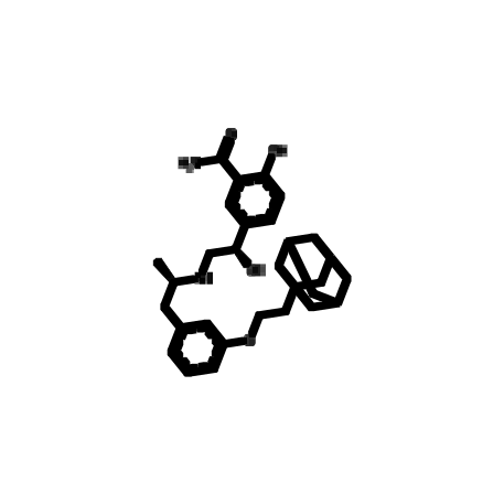 C[C@H](Cc1cccc(OCCC23CC4CC(CC(C4)C2)C3)c1)NC[C@H](O)c1ccc(O)c(C(N)=O)c1